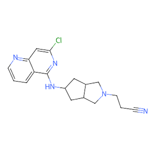 N#CCCN1CC2CC(Nc3nc(Cl)cc4ncccc34)CC2C1